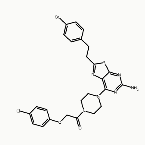 Nc1nc(N2CCN(C(=O)COc3ccc(Cl)cc3)CC2)c2nc(CCc3ccc(Br)cc3)sc2n1